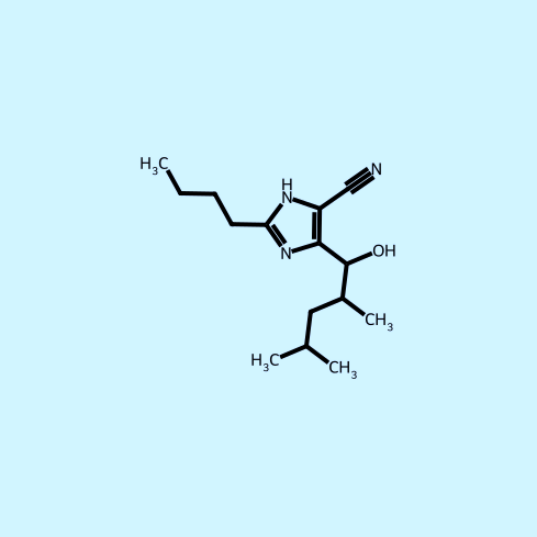 CCCCc1nc(C(O)C(C)CC(C)C)c(C#N)[nH]1